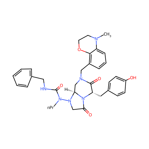 CCCN(C(=O)NCc1ccccc1)N1CC(=O)N2[C@@H](Cc3ccc(O)cc3)C(=O)N(Cc3cccc4c3OCCN4C)C[C@@H]21